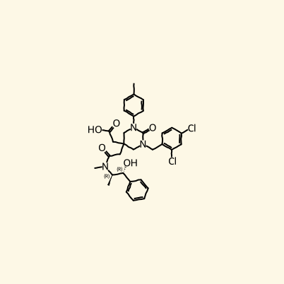 Cc1ccc(N2CC(CC(=O)O)(CC(=O)N(C)[C@H](C)[C@H](O)c3ccccc3)CN(Cc3ccc(Cl)cc3Cl)C2=O)cc1